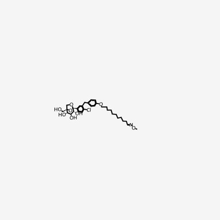 CO/N=C/CCCCCCCCCCOc1ccc(Cc2cc([C@]34OC[C@](CO)(O3)[C@@H](O)[C@H](O)[C@H]4O)ccc2Cl)cc1